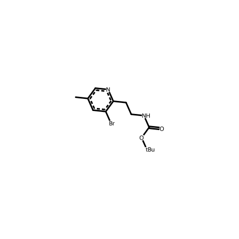 Cc1cnc(CCNC(=O)OC(C)(C)C)c(Br)c1